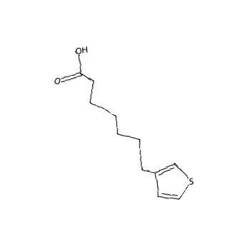 O=C(O)CCCCCCc1ccsc1